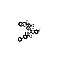 O=C(NC(Cc1ccc(F)cc1)C(=O)N1CCC2C1C(=O)CN2S(=O)(=O)Cc1ccccn1)c1ccc(-c2ccccc2)cc1